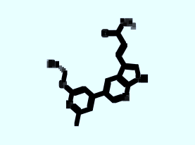 CC[C@@H](C)COc1cc(-c2cnc3[nH]cc(/C=C/C(N)=O)c3c2)cc(C)n1